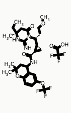 CC[C@@]1(C)CC(=O)N([C@H](CCOC)[C@@H]2C[C@H]2C(=O)NC2CC(C)(C)Oc3ccc(OC(F)(F)F)cc32)C(=N)N1.O=C(O)C(F)(F)F